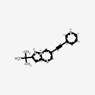 CC(C)(C)c1cc2ncc(C#Cc3cccnc3)cn2n1